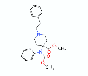 COC(=O)N(c1ccccc1)C1(C(=O)OC)CCN(CCc2ccccc2)CC1